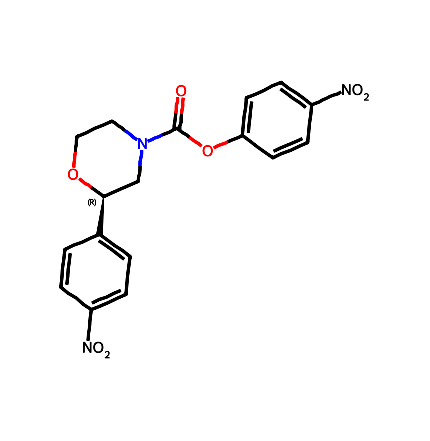 O=C(Oc1ccc([N+](=O)[O-])cc1)N1CCO[C@H](c2ccc([N+](=O)[O-])cc2)C1